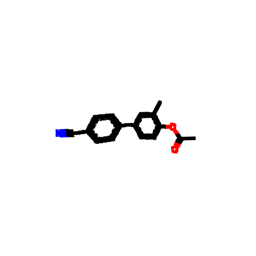 CC(=O)Oc1ccc(-c2ccc(C#N)cc2)cc1C